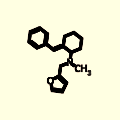 CN(Cc1ccco1)C1CCCCC1=Cc1ccccc1